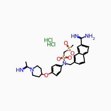 CC(=N)N1CCC(Oc2ccc(N(Cc3ccc4ccc(C(=N)N)cc4c3)S(=O)(=O)CS(C)(=O)=O)cc2)CC1.Cl.Cl